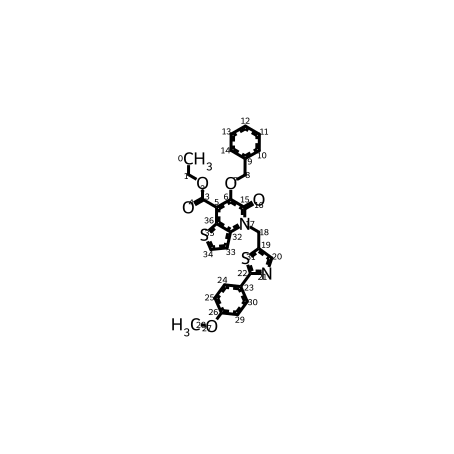 CCOC(=O)c1c(OCc2ccccc2)c(=O)n(Cc2cnc(-c3ccc(OC)cc3)s2)c2ccsc12